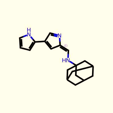 C1=N/C(=C/NC23CC4CC(CC(C4)C2)C3)C=C1c1ccc[nH]1